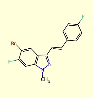 Cn1nc(/C=C/c2ccc(F)cc2)c2cc(Br)c(F)cc21